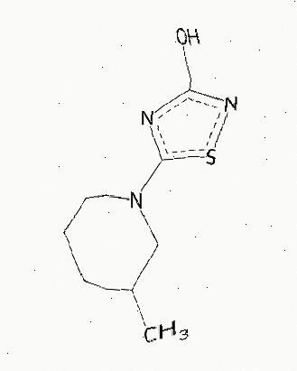 CC1CCCN(c2nc(O)ns2)C1